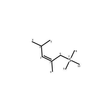 C/C(=C/C(C)C)CS(C)(C)C